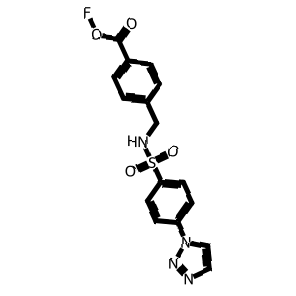 O=C(OF)c1ccc(CNS(=O)(=O)c2ccc(-n3ccnn3)cc2)cc1